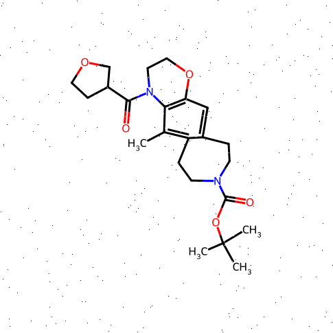 Cc1c2c(cc3c1N(C(=O)C1CCOC1)CCO3)CCN(C(=O)OC(C)(C)C)CC2